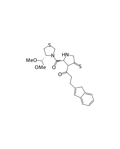 COC(OC)[C@@H]1CSCN1C(=O)[C@H]1NCC(=S)C1C(=O)CCC1=Cc2ccccc2C1